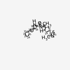 Cc1ncsc1-c1ccc([C@H](C)NC(=O)[C@@H]2C[C@@H](OCc3ccccc3)CN2)cc1